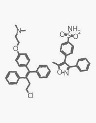 CN(C)CCOc1ccc(/C(=C(/CCCl)c2ccccc2)c2ccccc2)cc1.Cc1onc(-c2ccccc2)c1-c1ccc(S(N)(=O)=O)cc1